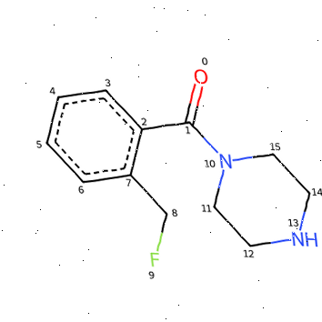 O=C(c1ccccc1CF)N1CCNCC1